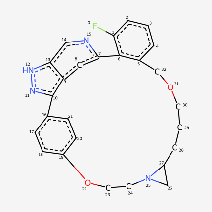 Fc1cccc2c1-c1cc3c(n[nH]c3cn1)-c1ccc(cc1)OCCN1CC1CCCOC2